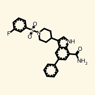 NC(=O)c1cc(-c2ccccc2)cc2c(C3CCN(S(=O)(=O)c4cccc(F)c4)CC3)c[nH]c12